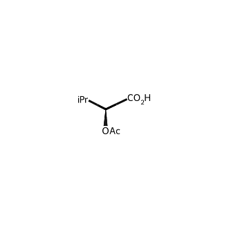 CC(=O)O[C@H](C(=O)O)C(C)C